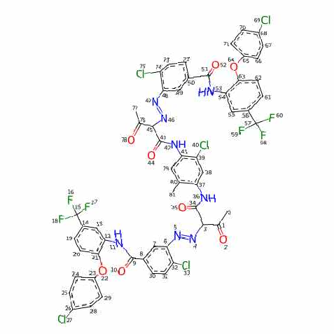 CC(=O)C(N=Nc1cc(C(=O)Nc2cc(C(F)(F)F)ccc2Oc2ccc(Cl)cc2)ccc1Cl)C(=O)Nc1cc(Cl)c(NC(=O)C(N=Nc2cc(C(=O)Nc3cc(C(F)(F)F)ccc3Oc3ccc(Cl)cc3)ccc2Cl)C(C)=O)cc1C